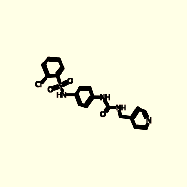 O=C(NCc1ccncc1)Nc1ccc(NS(=O)(=O)c2ccccc2Cl)cc1